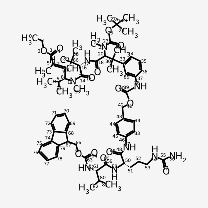 CCOC(=O)/C(C)=C/[C@H](C(C)C)N(C)C(=O)[C@@H](NC(=O)C(N(C)C(=O)OC(C)(C)C)C(C)(C)c1cccc(NC(=O)OCc2ccc(NC(=O)[C@H](CCCNC(N)=O)NC(=O)[C@@H](NC(=O)OCC3c4ccccc4-c4ccccc43)C(C)C)cc2)c1)C(C)(C)C